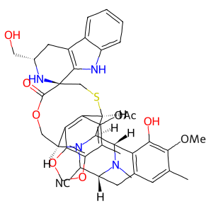 COc1c(C)cc2c(c1O)[C@H]1[C@@H]3[C@@H]4SC[C@]5(N[C@H](CO)Cc6c5[nH]c5ccccc65)C(=O)OC[C@@H](c5c6c(c(C)c(OC(C)=O)c54)OCO6)N3C(C#N)[C@@H](C2)N1C